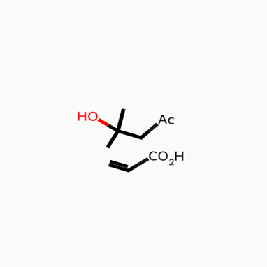 C=CC(=O)O.CC(=O)CC(C)(C)O